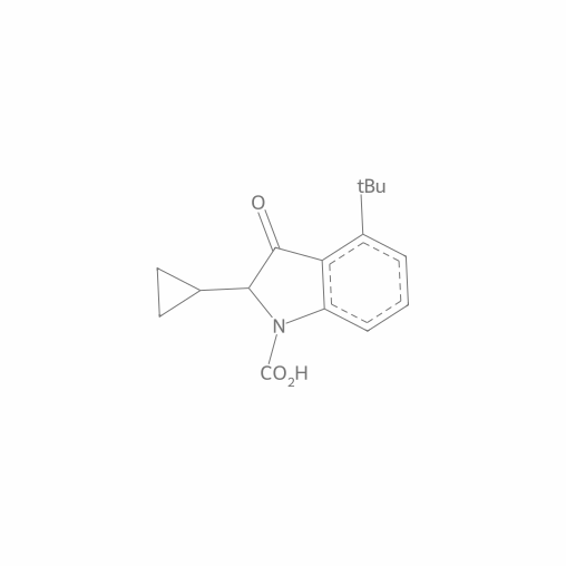 CC(C)(C)c1cccc2c1C(=O)C(C1CC1)N2C(=O)O